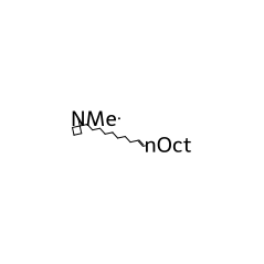 CCCCCCCCC=CCCCCCCCCC1([N]C)CCC1